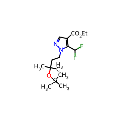 CCOC(=O)c1cnn(CCC(C)(C)O[Si](C)(C)C)c1C(F)F